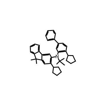 CC1(C)c2ccccc2-c2cc(N(c3cc(-c4ccccc4)ccc3C3CCCC3)C(C)(C)C)c(C3CCCC3)cc21